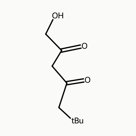 CC(C)(C)CC(=O)CC(=O)CO